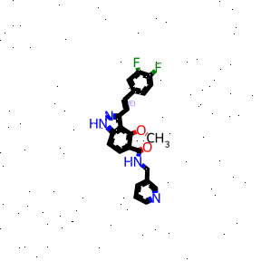 COc1c(C(=O)NCc2cccnc2)ccc2[nH]nc(/C=C/c3ccc(F)c(F)c3)c12